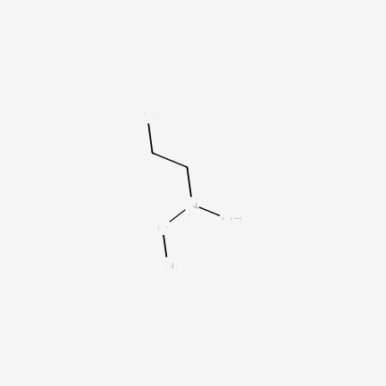 O[SiH](CCS)O[SiH3]